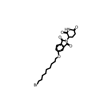 O=C1CCC(N2C(=O)c3ccc(OCCCCCCCCCBr)cc3C2=O)C(=O)N1